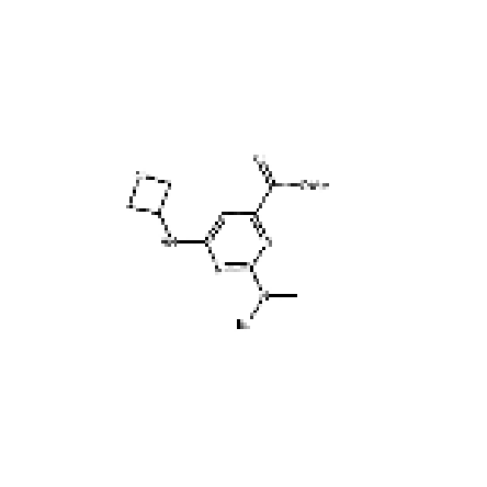 CCN(C)c1nc(NC2COC2)cc(C(=O)OC)n1